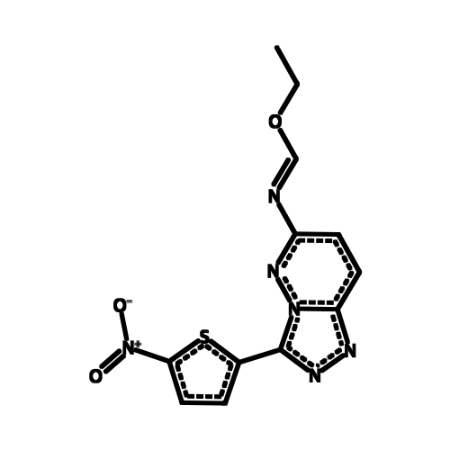 CCOC=Nc1ccc2nnc(-c3ccc([N+](=O)[O-])s3)n2n1